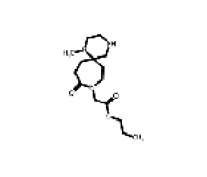 CCCOC(=O)CN1CCC2(CCC1=O)CNCCN2C